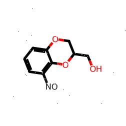 O=Nc1cccc2c1OC(CO)CO2